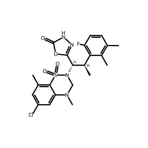 Cc1ccc(F)c([C@@H](C)[C@@H](c2n[nH]c(=O)o2)N2CN(C)c3cc(Cl)cc(C)c3S2(=O)=O)c1C